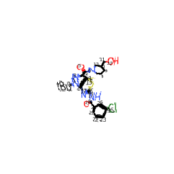 CC(C)(C)n1nc(C(=O)N2CCCC(CO)C2)c2sc(NC(=O)c3cccc(Cl)c3)nc21